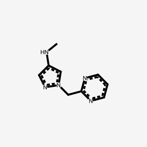 CNc1cnn(Cc2ncccn2)c1